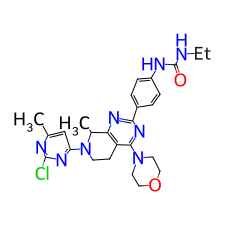 CCNC(=O)Nc1ccc(-c2nc3c(c(N4CCOCC4)n2)CCN(c2cc(C)nc(Cl)n2)C3C)cc1